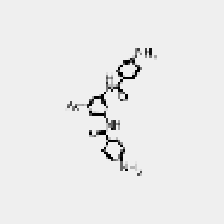 CC(=O)c1cc(NC(=O)c2ccc(N)cc2)cc(NC(=O)c2ccc(N)cc2)c1